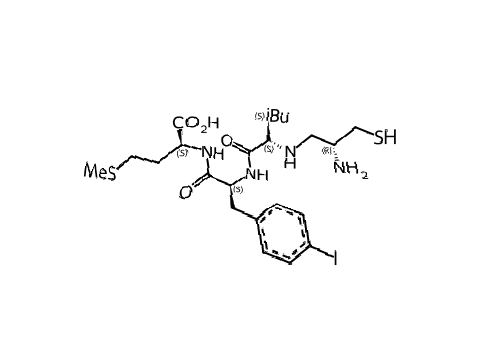 CC[C@H](C)[C@H](NC[C@@H](N)CS)C(=O)N[C@@H](Cc1ccc(I)cc1)C(=O)N[C@@H](CCSC)C(=O)O